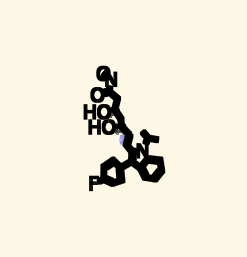 CC(C)n1c(/C=C/[C@@H](O)C[C@@H](O)CC(=O)N=O)c(-c2ccc(F)cc2)c2ccccc21